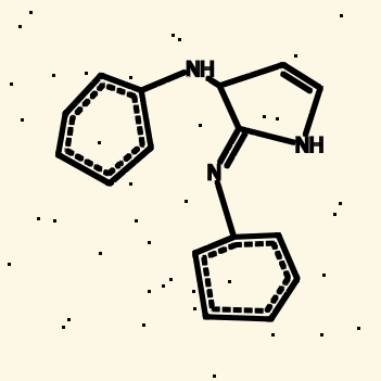 C1=CC(Nc2ccccc2)C(=Nc2ccccc2)N1